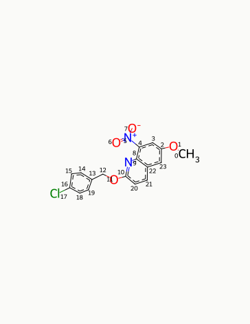 COc1cc([N+](=O)[O-])c2nc(OCc3ccc(Cl)cc3)ccc2c1